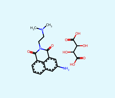 CN(C)CCN1C(=O)c2cccc3cc(N)cc(c23)C1=O.O=C(O)C(O)C(O)C(=O)O